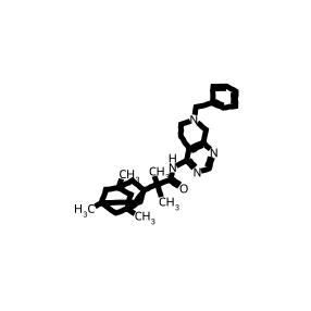 CC12CC3(C)CC(C)(C1)CC(C(C)(C)C(=O)Nc1ncnc4c1CCN(Cc1ccccc1)C4)(C2)C3